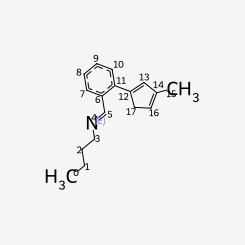 CCCC/N=C/c1ccccc1C1=CC(C)=CC1